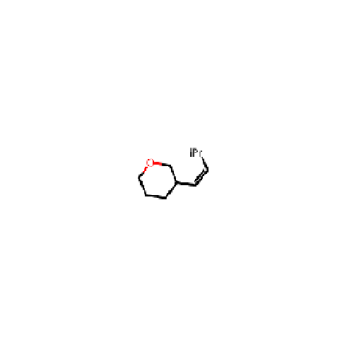 CC(C)/C=C\C1CCCOC1